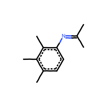 CC(C)=Nc1ccc(C)c(C)c1C